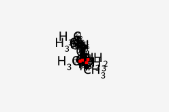 CCCCC1(C(C(N)=O)c2ncc(Oc3ccnc4cc(OCC)c(OC)cc34)cc2OC)N=NC(CC)=C1C